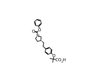 CC(C)(Oc1ccc(CC[C@H]2CCN(C(=O)Oc3ccccc3)C2)cc1)C(=O)O